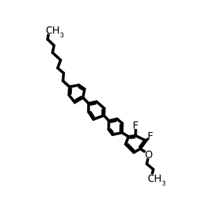 CCCCCCCCc1ccc(-c2ccc(-c3ccc(-c4ccc(OCCC)c(F)c4F)cc3)cc2)cc1